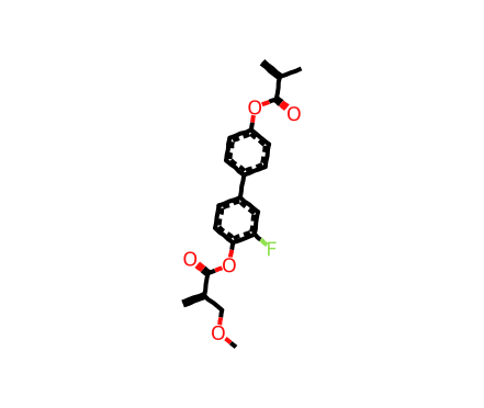 C=C(C)C(=O)Oc1ccc(-c2ccc(OC(=O)C(=C)COC)c(F)c2)cc1